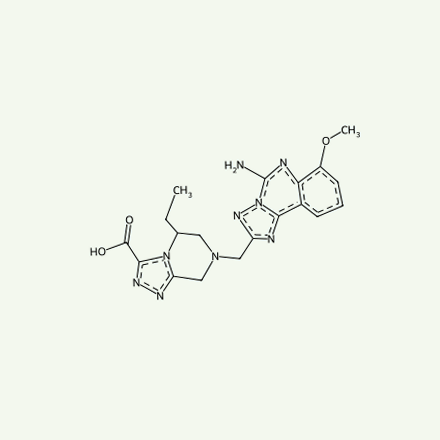 CCC1CN(Cc2nc3c4cccc(OC)c4nc(N)n3n2)Cc2nnc(C(=O)O)n21